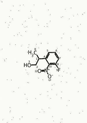 [CH2]C(CO)c1cccc(F)c1[N+](=O)[O-]